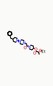 CCOC(C)C(=O)OC1CCN(C(=O)CN2CCN(N3CCC(Cc4ccccc4)CC3)CC2)CC1